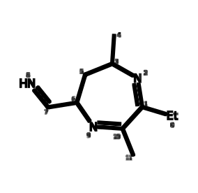 CCC1=NC(C)CC(C=N)N=C1C